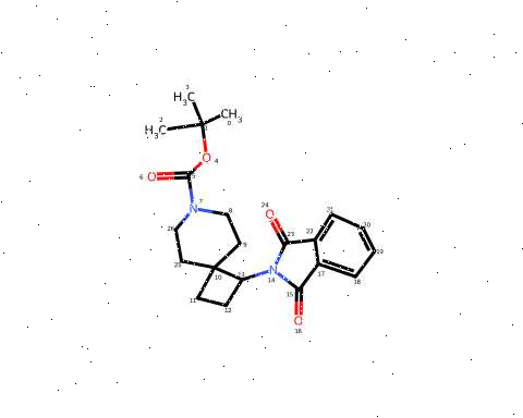 CC(C)(C)OC(=O)N1CCC2(CCC2N2C(=O)c3ccccc3C2=O)CC1